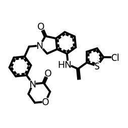 C=C(Nc1cccc2c1CN(Cc1cccc(N3CCOCC3=O)c1)C2=O)c1ccc(Cl)s1